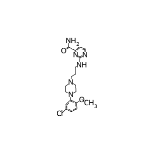 COc1ccc(Cl)cc1N1CCN(CCCNc2nccc(C(N)=O)n2)CC1